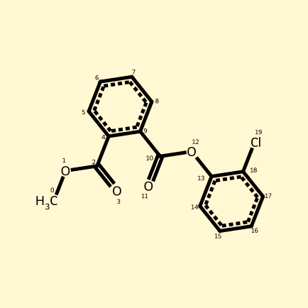 COC(=O)c1ccccc1C(=O)Oc1ccccc1Cl